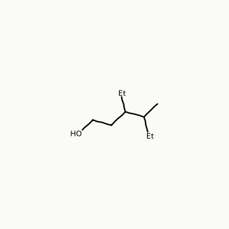 CCC(C)C(CC)CCO